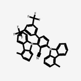 Cc1cccc2c1c1ccccc1n2-c1ccc(-c2cc(C(F)(F)F)cc(C(F)(F)F)c2)c(-n2c3ccccc3c3c(C)cccc32)c1C#N